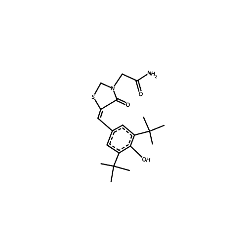 CC(C)(C)c1cc(C=C2SCN(CC(N)=O)C2=O)cc(C(C)(C)C)c1O